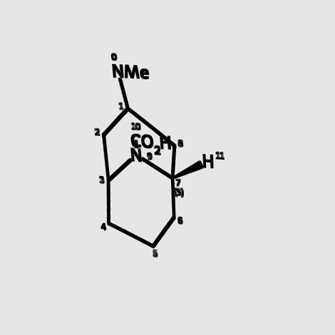 CNC1CC2CCC[C@@H](C1)N2C(=O)O